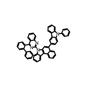 c1ccc(-c2ccccc2-c2nc(-n3c4ccccc4c4c5ccccc5c(-c5ccc6c(c5)c5ccccc5n6-c5ccccc5)cc43)nc3ccccc23)cc1